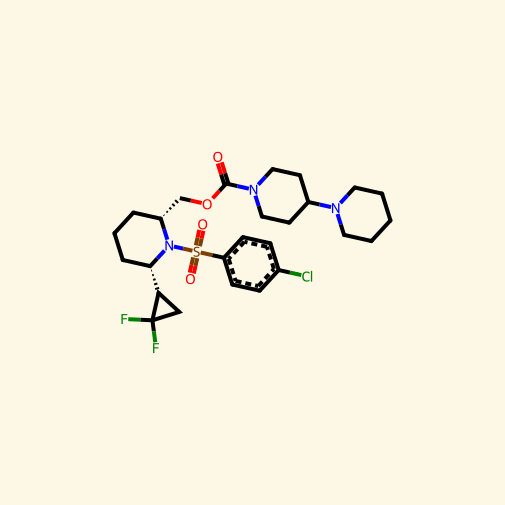 O=C(OC[C@H]1CCC[C@@H](C2CC2(F)F)N1S(=O)(=O)c1ccc(Cl)cc1)N1CCC(N2CCCCC2)CC1